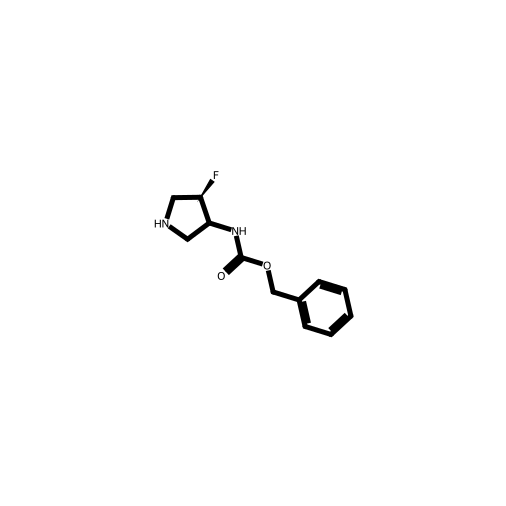 O=C(NC1CNC[C@H]1F)OCc1ccccc1